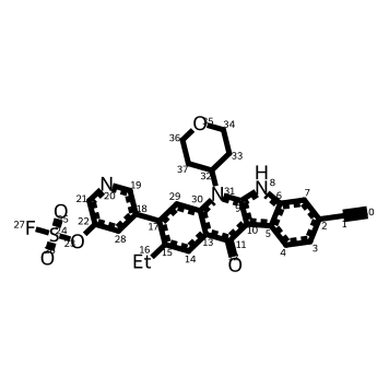 C#Cc1ccc2c(c1)[nH]c1c2c(=O)c2cc(CC)c(-c3cncc(OS(=O)(=O)F)c3)cc2n1C1CCOCC1